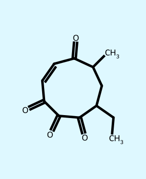 CCC1CC(C)C(=O)C=CC(=O)C(=O)C1=O